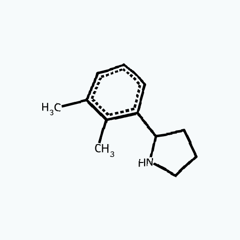 Cc1cccc(C2CCCN2)c1C